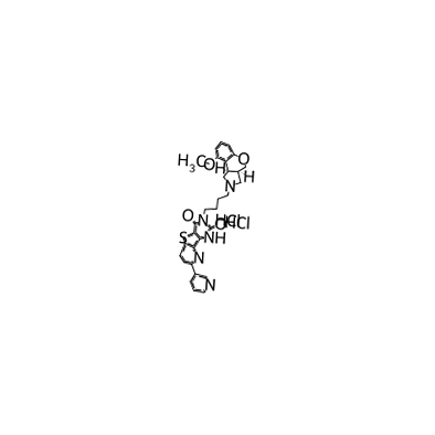 COc1cccc2c1[C@@H]1CN(CCCCn3c(=O)[nH]c4c(sc5ccc(-c6cccnc6)nc54)c3=O)C[C@@H]1CO2.Cl.Cl